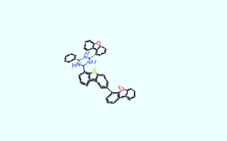 c1ccc(C2NC(c3cccc4c3sc3ccc(-c5cccc6c5oc5ccccc56)cc34)NC(c3cccc4oc5ccccc5c34)N2)cc1